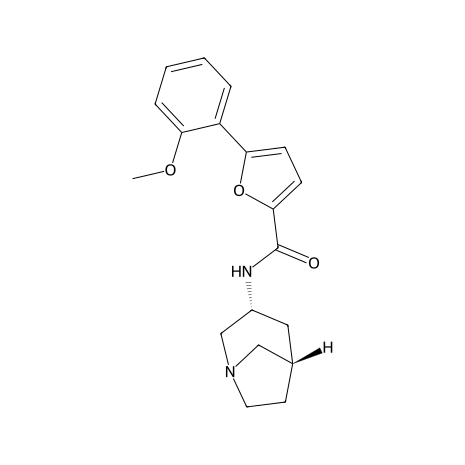 COc1ccccc1-c1ccc(C(=O)N[C@@H]2C[C@@H]3CCN(C3)C2)o1